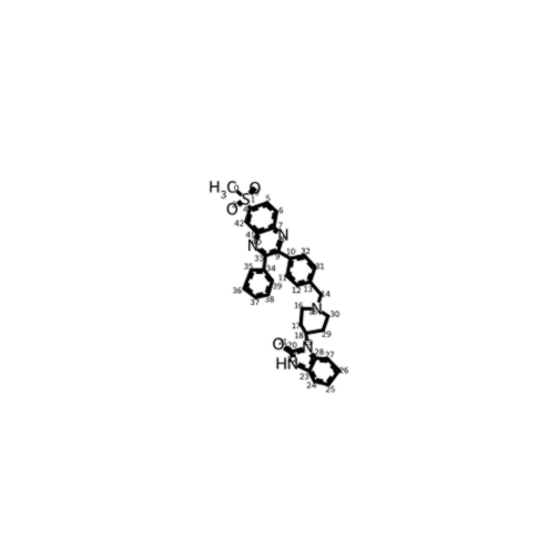 CS(=O)(=O)c1ccc2nc(-c3ccc(CN4CCC(n5c(=O)[nH]c6ccccc65)CC4)cc3)c(-c3ccccc3)nc2c1